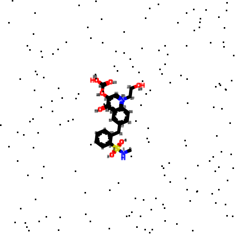 CNS(=O)(=O)c1ccccc1Cc1ccc2c(c1)c(=O)c(OC(=O)O)cn2CCO